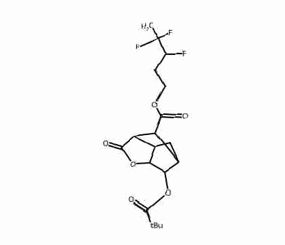 CC(C)(C)C(=O)OC1C2CC3C1OC(=O)C3C2C(=O)OCCC(F)C(C)(F)F